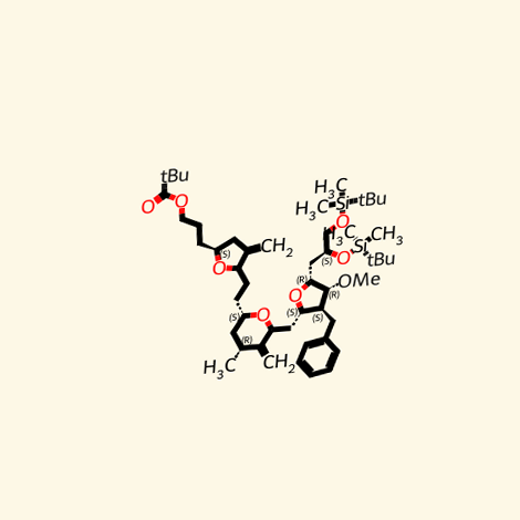 C=C1C[C@H](CCCOC(=O)C(C)(C)C)OC1CC[C@H]1C[C@@H](C)C(=C)C(C[C@@H]2O[C@H](C[C@@H](CO[Si](C)(C)C(C)(C)C)O[Si](C)(C)C(C)(C)C)[C@H](OC)[C@H]2Cc2ccccc2)O1